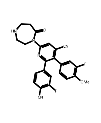 COc1ccc(-c2c(C#N)cc(N3CCNCCC3=O)nc2-c2ccc(C#N)c(F)c2)cc1F